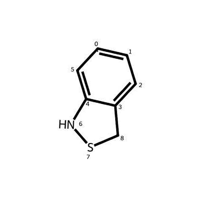 [c]1ccc2c(c1)NSC2